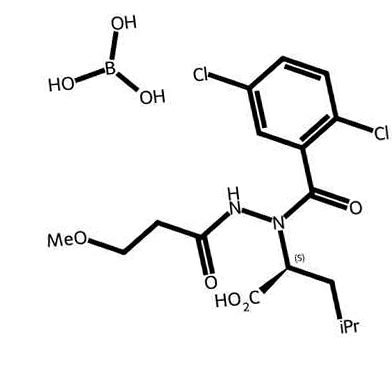 COCCC(=O)NN(C(=O)c1cc(Cl)ccc1Cl)[C@@H](CC(C)C)C(=O)O.OB(O)O